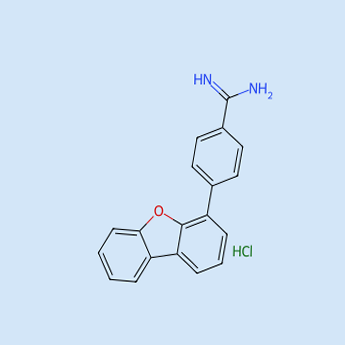 Cl.N=C(N)c1ccc(-c2cccc3c2oc2ccccc23)cc1